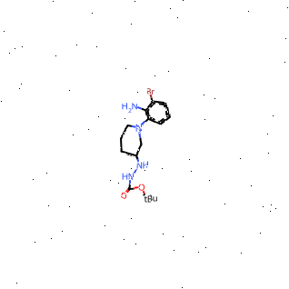 CC(C)(C)OC(=O)NNC1CCCN(c2cccc(Br)c2N)C1